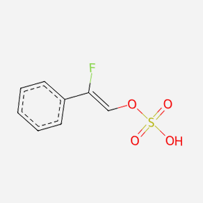 O=S(=O)(O)OC=C(F)c1ccccc1